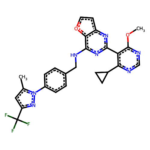 COc1ncnc(C2CC2)c1-c1nc(NCc2ccc(-n3nc(C(F)(F)F)cc3C)cc2)c2occc2n1